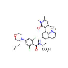 Cc1cc(C(F)(F)F)c(-c2ccc(CC(NC(=O)c3c(F)cc(N4CCOC[C@@H]4CC(F)(F)F)cc3F)C(=O)O)c3cccnc23)c(=O)n1C